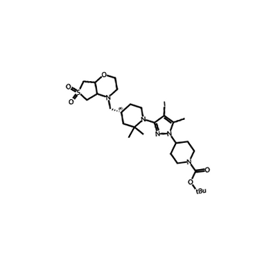 Cc1c(I)c(N2CC[C@@H](CN3CCOC4CS(=O)(=O)CC43)CC2(C)C)nn1C1CCN(C(=O)OC(C)(C)C)CC1